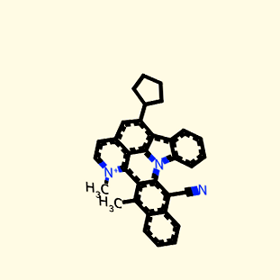 Cc1c2ccccc2c(C#N)c2c1c1c3c(cc[n+]1C)cc(C1CCCC1)c1c4ccccc4n2c13